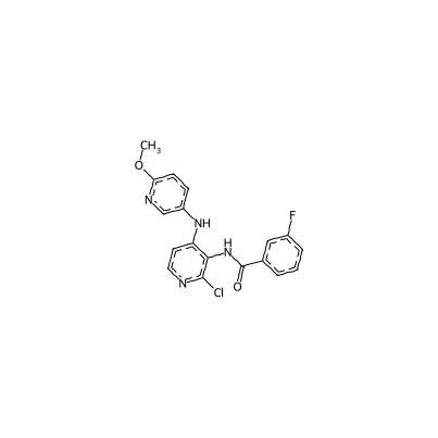 COc1ccc(Nc2ccnc(Cl)c2NC(=O)c2cccc(F)c2)cn1